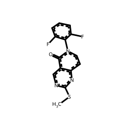 CSc1ncc2c(=O)n(-c3c(F)cccc3F)ccc2n1